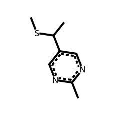 CSC(C)c1cnc(C)nc1